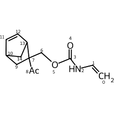 C=CNC(=O)OCC1(C(C)=O)CC2C=CC1C2